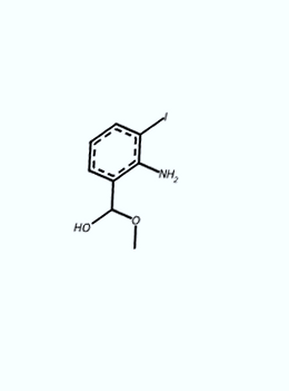 COC(O)c1cccc(I)c1N